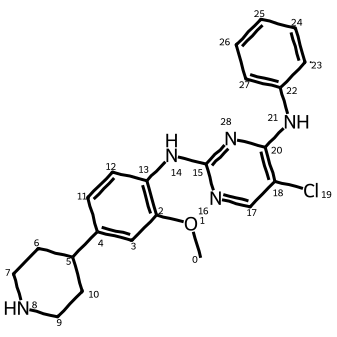 COc1cc(C2CCNCC2)ccc1Nc1ncc(Cl)c(Nc2[c]cccc2)n1